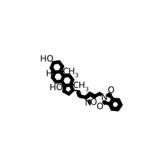 C[C@]12CC[C@H](O)C[C@H]1CCC1C2CC[C@]2(C)[C@@H](/C=C/c3cc(CN4C(=O)c5ccccc5C4=O)on3)CC[C@]12O